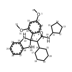 COc1ccc(C2(C(C(=O)NC3CCCC3)C3CCCCC3)Nc3ccccc3N2)c(OC)c1